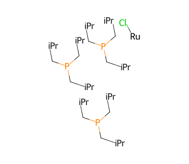 CC(C)CP(CC(C)C)CC(C)C.CC(C)CP(CC(C)C)CC(C)C.CC(C)CP(CC(C)C)CC(C)C.[Cl][Ru]